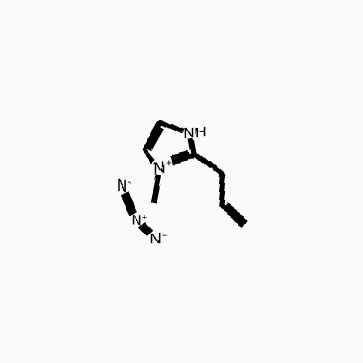 C=CCc1[nH]cc[n+]1C.[N-]=[N+]=[N-]